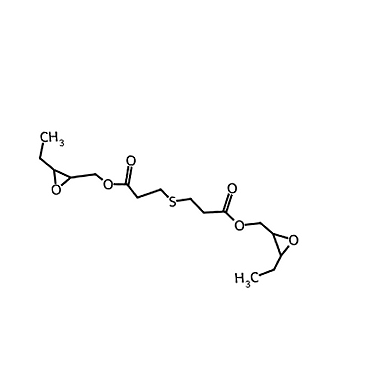 CCC1OC1COC(=O)CCSCCC(=O)OCC1OC1CC